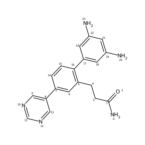 NC(=O)CCc1cc(-c2cncnc2)ccc1-c1cc(N)cc(N)c1